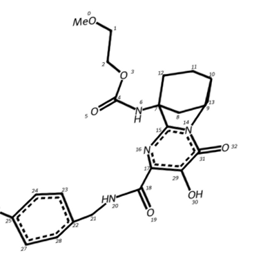 COCCOC(=O)NC12CCC(CC1)Cn1c2nc(C(=O)NCc2ccc(F)cc2)c(O)c1=O